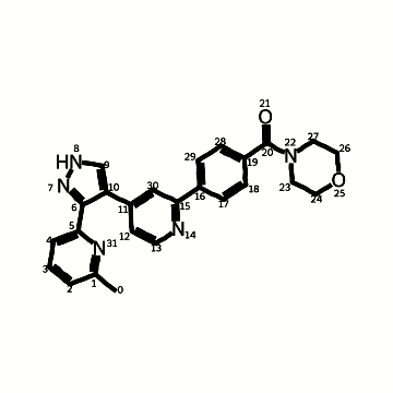 Cc1cccc(-c2n[nH]cc2-c2ccnc(-c3ccc(C(=O)N4CCOCC4)cc3)c2)n1